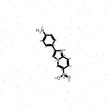 Nc1ccc(-c2cn3cc([N+](=O)[O-])ccc3n2)cc1